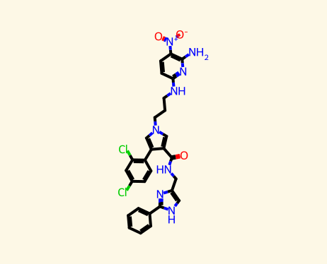 Nc1nc(NCCCn2cc(C(=O)NCc3c[nH]c(-c4ccccc4)n3)c(-c3ccc(Cl)cc3Cl)c2)ccc1[N+](=O)[O-]